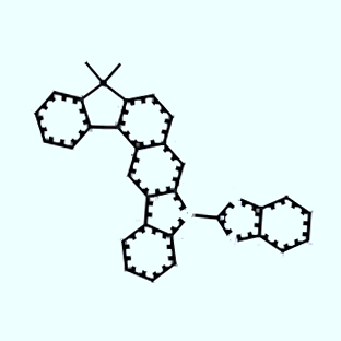 CC1(C)c2ccccc2-c2c1ccc1cc3c(cc21)c1ccccc1n3-c1nc2ccccc2s1